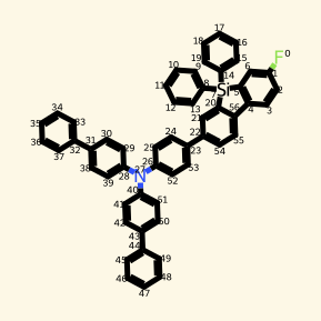 Fc1ccc2c(c1)[Si](c1ccccc1)(c1ccccc1)c1cc(-c3ccc(N(c4ccc(-c5ccccc5)cc4)c4ccc(-c5ccccc5)cc4)cc3)ccc1-2